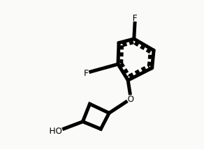 OC1CC(Oc2ccc(F)cc2F)C1